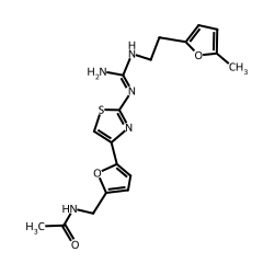 CC(=O)NCc1ccc(-c2csc(/N=C(\N)NCCc3ccc(C)o3)n2)o1